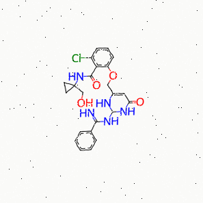 N=C(NC1NC(=O)C=C(COc2cccc(Cl)c2C(=O)NC2(CO)CC2)N1)c1ccccc1